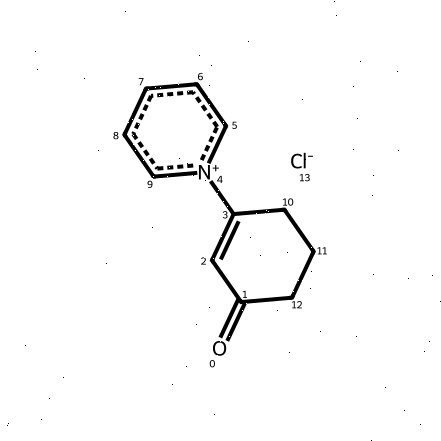 O=C1C=C([n+]2ccccc2)CCC1.[Cl-]